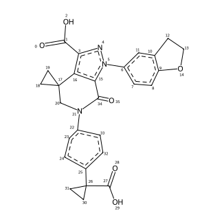 O=C(O)c1nn(-c2ccc3c(c2)CCO3)c2c1C1(CC1)CN(c1ccc(C3(C(=O)O)CC3)cc1)C2=O